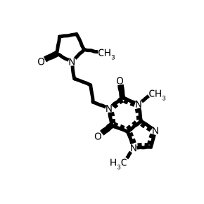 CC1CCC(=O)N1CCCn1c(=O)c2c(ncn2C)n(C)c1=O